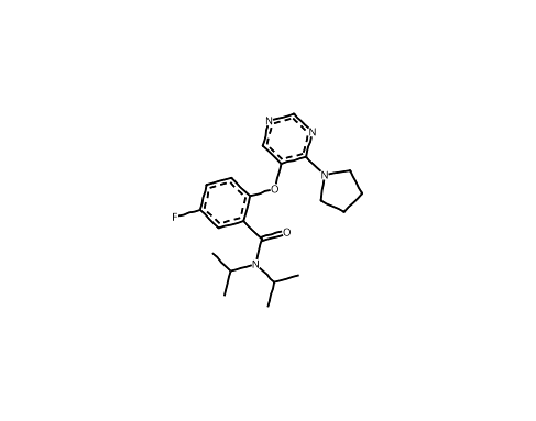 CC(C)N(C(=O)c1cc(F)ccc1Oc1cncnc1N1CCCC1)C(C)C